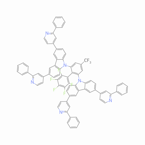 Fc1c(F)c(F)c(-c2c(-n3c4ccc(-c5ccnc(-c6ccccc6)c5)cc4c4cc(-c5ccnc(-c6ccccc6)c5)ccc43)cc(C(F)(F)F)cc2-n2c3ccc(-c4ccnc(-c5ccccc5)c4)cc3c3cc(-c4ccnc(-c5ccccc5)c4)ccc32)c(F)c1F